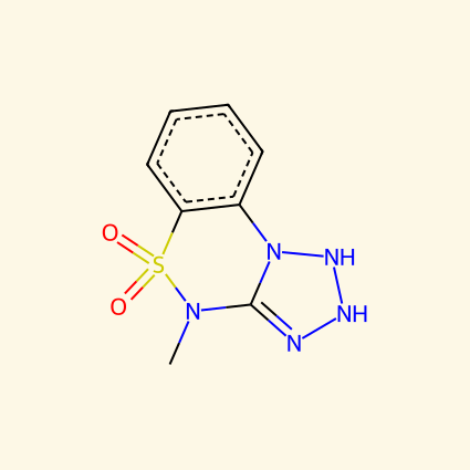 CN1C2=NNNN2c2ccccc2S1(=O)=O